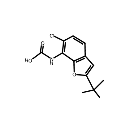 CC(C)(C)c1cc2ccc(Cl)c(NC(=O)O)c2o1